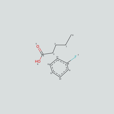 CCCCC(=O)O.Fc1ccccc1